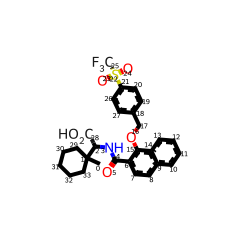 CC1(C(NC(=O)c2ccc3ccccc3c2OCc2ccc(S(=O)(=O)C(F)(F)F)cc2)C(=O)O)CCCCC1